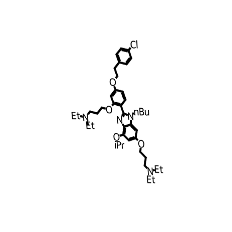 CCCCn1c(-c2ccc(OCCc3ccc(Cl)cc3)cc2OCCCN(CC)CC)nc2c(OC(C)C)cc(OCCCN(CC)CC)cc21